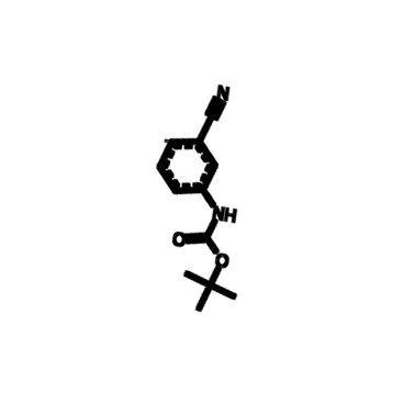 CC(C)(C)OC(=O)Nc1cc[c]c(C#N)c1